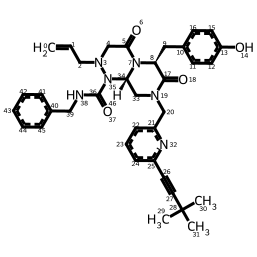 C=CCN1CC(=O)N2[C@@H](Cc3ccc(O)cc3)C(=O)N(Cc3cccc(C#CC(C)(C)C)n3)C[C@@H]2N1C(=O)NCc1ccccc1